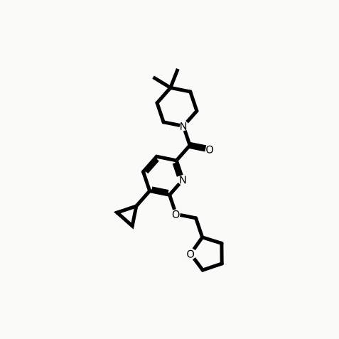 CC1(C)CCN(C(=O)c2ccc(C3CC3)c(OCC3CCCO3)n2)CC1